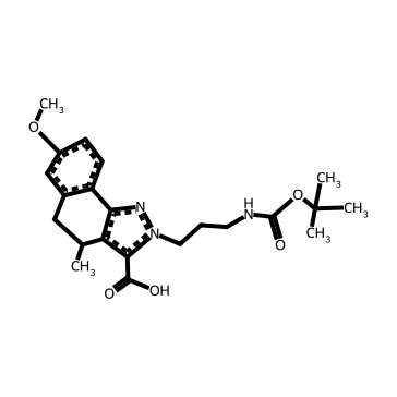 COc1ccc2c(c1)CC(C)c1c-2nn(CCCNC(=O)OC(C)(C)C)c1C(=O)O